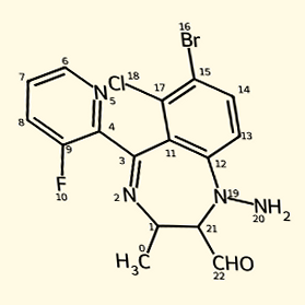 CC1N=C(c2ncccc2F)c2c(ccc(Br)c2Cl)N(N)C1C=O